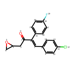 O=C(CC1CO1)/C(=C/c1ccc(Cl)cc1)c1ccc(F)cc1